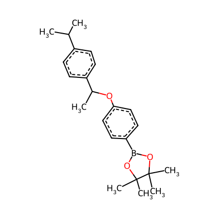 CC(C)c1ccc(C(C)Oc2ccc(B3OC(C)(C)C(C)(C)O3)cc2)cc1